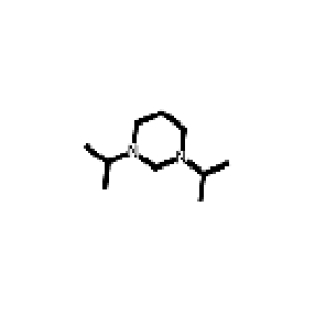 CC(C)N1CCCN(C(C)C)C1